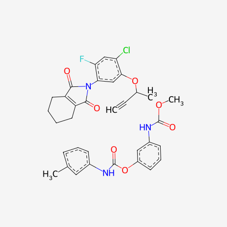 C#CC(C)Oc1cc(N2C(=O)C3=C(CCCC3)C2=O)c(F)cc1Cl.COC(=O)Nc1cccc(OC(=O)Nc2cccc(C)c2)c1